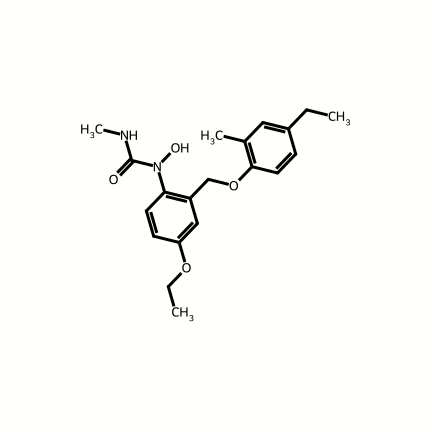 CCOc1ccc(N(O)C(=O)NC)c(COc2ccc(CC)cc2C)c1